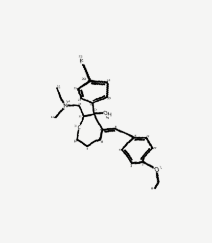 COc1ccc(/C=C2\CCCCC(CN(C)C)C2(O)c2ccc(F)cc2)cc1